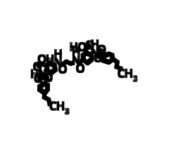 CCCCc1ccc(S(=O)(=O)Nc2ccc(NC(=O)CCNC(=O)c3ccc(NS(=O)(=O)c4ccc(CCCC)cc4)c(C(=O)O)c3)cc2C(=O)O)cc1